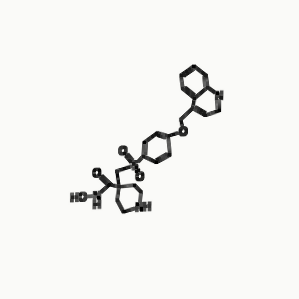 O=C(NO)C1(CS(=O)(=O)c2ccc(OCc3ccnc4ccccc34)cc2)CCNCC1